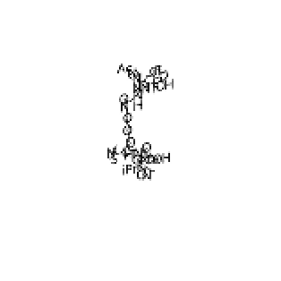 CC(=O)N1CCN(c2nc(NCCC(=O)N(C)CCOCCOCCOc3cc(-c4scnc4C)ccc3CNC(=O)[C@@H]3C[C@@H](O)CN3C(=O)[C@H](c3cc(C)no3)C(C)C)nc3c(F)c(-c4c(O)cccc4F)c(Cl)cc23)CC1